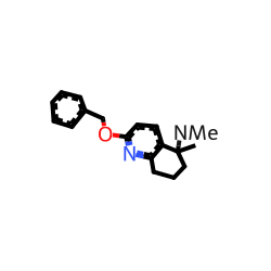 CNC1(C)CCCc2nc(OCc3ccccc3)ccc21